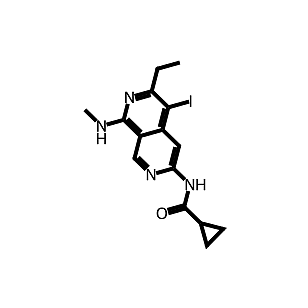 CCc1nc(NC)c2cnc(NC(=O)C3CC3)cc2c1I